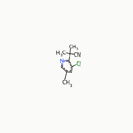 Cc1cnc(C(C)(C)C#N)c(Cl)c1